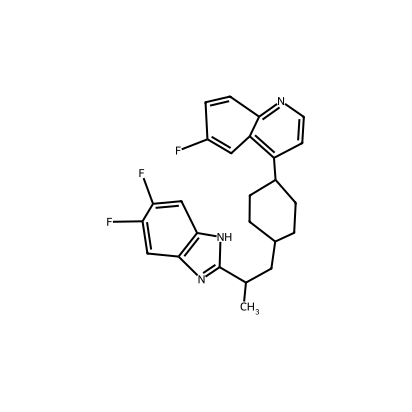 CC(CC1CCC(c2ccnc3ccc(F)cc23)CC1)c1nc2cc(F)c(F)cc2[nH]1